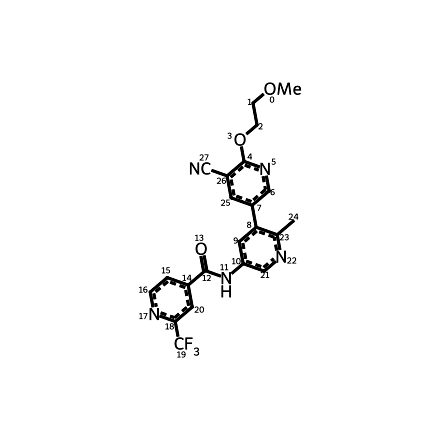 COCCOc1ncc(-c2cc(NC(=O)c3ccnc(C(F)(F)F)c3)cnc2C)cc1C#N